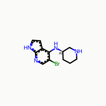 Brc1cnc2[nH]ccc2c1N[C@@H]1CCCNC1